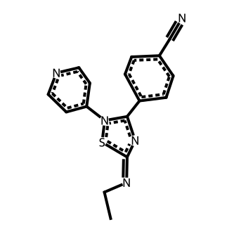 CCN=c1nc(-c2ccc(C#N)cc2)n(-c2ccncc2)s1